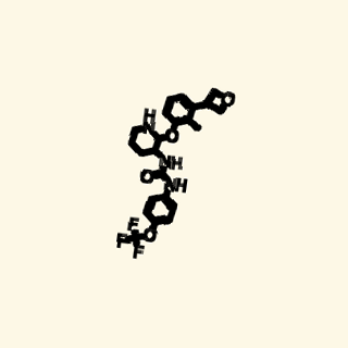 Cc1c(OC2NCCCC2NC(=O)Nc2ccc(OC(F)(F)F)cc2)cccc1C1COC1